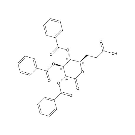 O=C(O)C[CH][C@H]1OC(=O)[C@H](OC(=O)c2ccccc2)[C@@H](OC(=O)c2ccccc2)[C@@H]1OC(=O)c1ccccc1